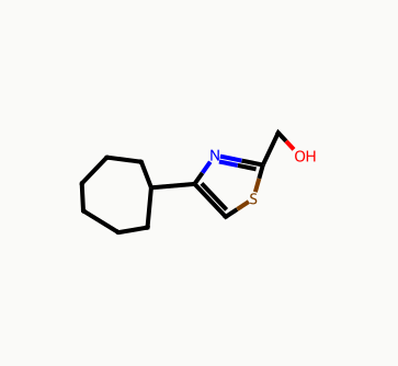 OCc1nc(C2CCCCCC2)cs1